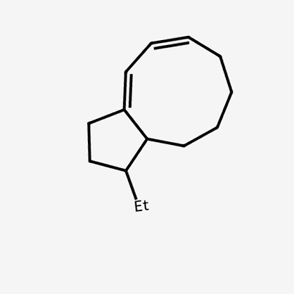 CCC1CCC2=CC=CCCCCC21